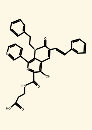 O=C(O)CCNC(=O)c1nc(-c2cccnc2)c2c(cc(C=Cc3ccccc3)c(=O)n2CCc2ccccc2)c1O